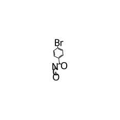 O=C=NC(=O)c1ccc(Br)cc1